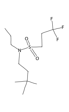 CCCN(CCC(C)(C)C)S(=O)(=O)CCC(F)(F)F